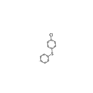 Clc1ccc(Sc2cc[c]cc2)cc1